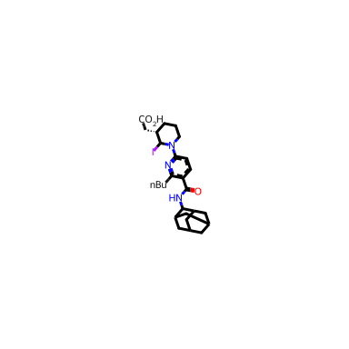 CCCCc1nc(N2CCC[C@@H](CC(=O)O)C2I)ccc1C(=O)NC1C2CC3CC(C2)CC1C3